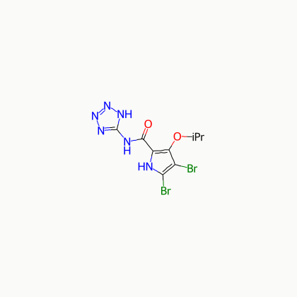 CC(C)Oc1c(C(=O)Nc2nnn[nH]2)[nH]c(Br)c1Br